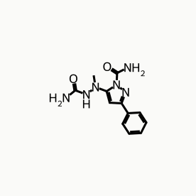 CN(NC(N)=O)c1cc(-c2ccccc2)nn1C(N)=O